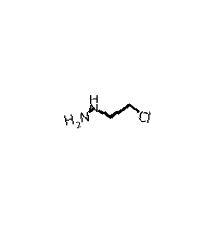 NNCCCl